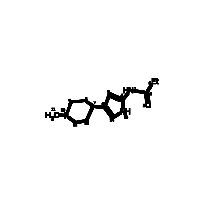 CCC(=O)Nc1cc(C2CCN(C)CC2)c[nH]1